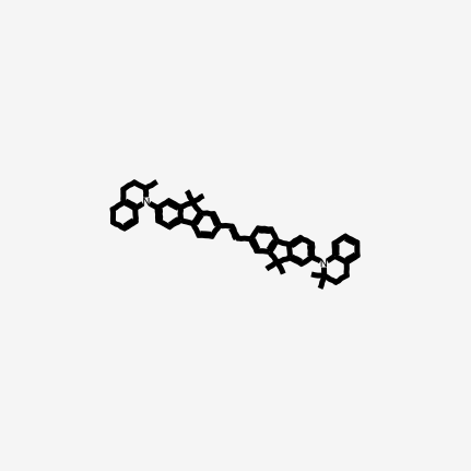 CC1CCC2=C(C=CCC2)N1c1ccc2c(c1)C(C)(C)c1cc(/C=C/c3ccc4c(c3)C(C)(C)c3cc(N5c6ccccc6CCC5(C)C)ccc3-4)ccc1-2